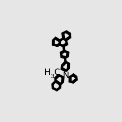 Cc1cc2c(cc1N(c1ccccc1)c1ccc(-c3ccc(-c4cc5ccccc5c5ccccc45)cc3)cc1)CCCC2